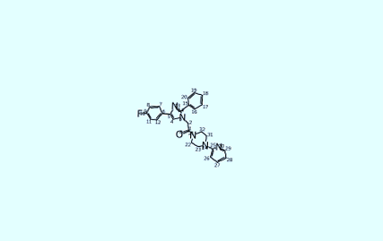 O=C(Cn1cc(-c2ccc(F)cc2)nc1-c1ccccc1)N1CCN(c2ccccn2)CC1